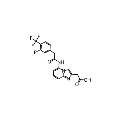 O=C(O)Cc1cn2c(NC(=O)Cc3ccc(C(F)(F)F)c(F)c3)cccc2n1